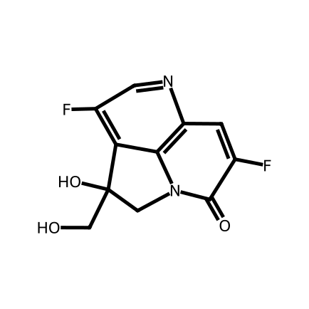 O=c1c(F)cc2ncc(F)c3c2n1CC3(O)CO